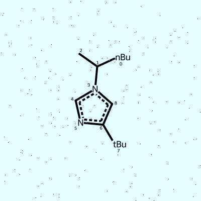 CCCCC(C)n1cnc(C(C)(C)C)c1